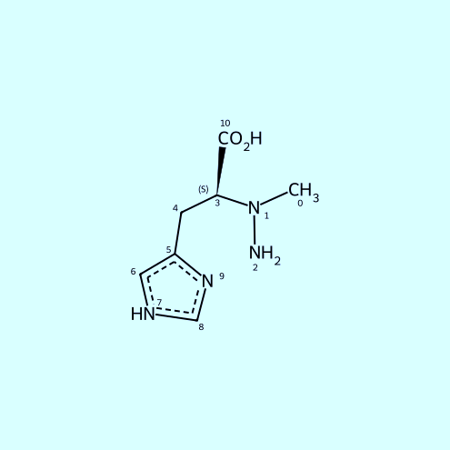 CN(N)[C@@H](Cc1c[nH]cn1)C(=O)O